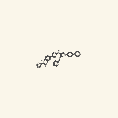 C[C@@H](Cn1cncn1)Oc1cc(-c2cnc(Nc3cn(C4CCC(N5CCOCC5)CC4)nc3OCc3ccccn3)nc2)ccc1C#N